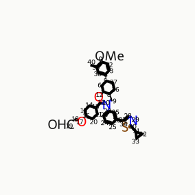 COc1ccc([C@H]2CC[C@H](CN(C(=O)C3CCC(OCC=O)CC3)c3cccc(-c4cnc(C5CC5)s4)c3)CC2)cc1C